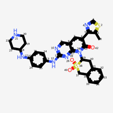 Cc1scnc1-c1cc2cnc(Nc3ccc(NC4CCNCC4)cc3)nc2n(C2Cc3ccccc3CS2(=O)=O)c1=O